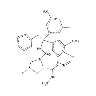 C=N/N=C(\NN)[C@@H]1C[C@H](F)CN1C(=O)N[C@@](Cc1ccccc1)(c1cc(F)cc(C(F)(F)F)c1)c1ccc(F)c(OC)c1